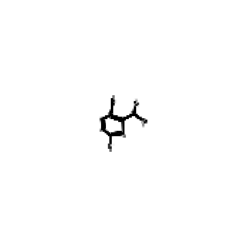 Brc1ccc(Br)c(C(Br)Br)c1